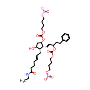 CCNC(=O)CCCC=CC[C@@H]1[C@@H](C=CC(CCc2ccccc2)OC(=O)OCCCCO[N+](=O)[O-])[C@H](OC(=O)OCCCCO[N+](=O)[O-])C[C@@H]1O